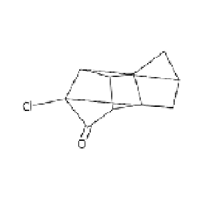 O=C1C2C3C4CC5C3C1(Cl)C5C42